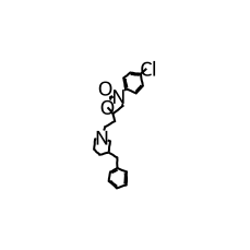 O=C1OC(CCN2CCCC(Cc3ccccc3)C2)CN1c1ccc(Cl)cc1